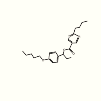 CCCCCOc1ccc(C(CC)OC(=O)c2cnc(CCCC)nc2)cc1